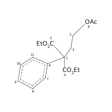 CCOC(=O)C(CCOC(C)=O)(C(=O)OCC)c1ccccc1